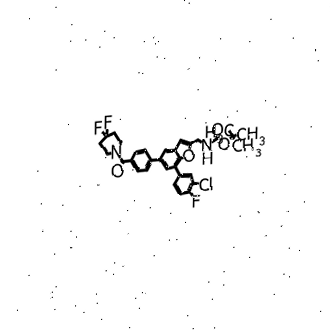 CC(C)(C)OC(=O)NCc1cc2cc(-c3ccc(C(=O)N4CCC(F)(F)CC4)cc3)cc(-c3ccc(F)c(Cl)c3)c2o1